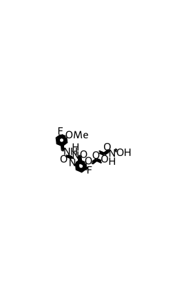 COc1cc(CNC(=O)c2nc3ccc(F)c(OCC4COC(C(=O)NCO)CO4)c3c(=O)[nH]2)ccc1F